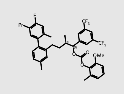 COc1cccc(C)c1OC(=O)O[C@H](c1cc(C(F)(F)F)cc(C(F)(F)F)c1)[C@H](C)CCc1cc(C)ccc1-c1cc(C(C)C)c(F)cc1C